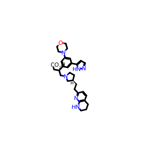 O=C(O)CC(CN1CC[C@@H](CCc2ccc3c(n2)NCCC3)C1)c1cc(-c2ccn[nH]2)cc(N2CCOCC2)c1